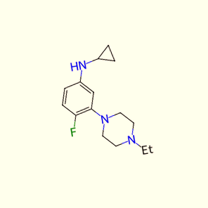 CCN1CCN(c2cc(NC3CC3)ccc2F)CC1